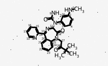 CNc1cccc(N(C(N)=O)[C@H]2N=C(c3ccccn3)c3ccccc3N(CC(=O)C(C)(C)C)C2=O)c1